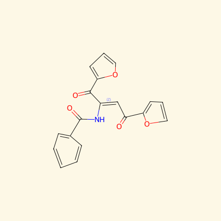 O=C(N/C(=C\C(=O)c1ccco1)C(=O)c1ccco1)c1ccccc1